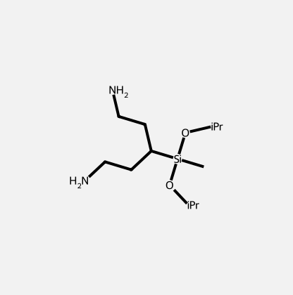 CC(C)O[Si](C)(OC(C)C)C(CCN)CCN